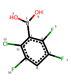 OB(O)c1c(F)c(F)cc(F)c1Cl